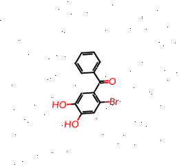 O=C(c1ccccc1)c1cc(O)c(O)cc1Br